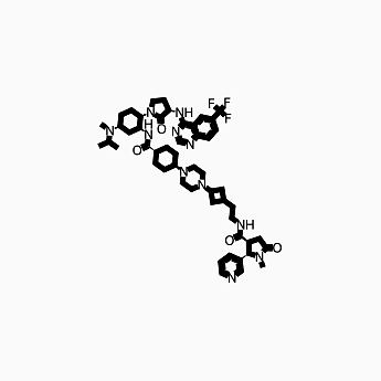 CC(C)N(C)[C@@H]1CC[C@H](N2CC[C@H](Nc3ncnc4ccc(C(F)(F)F)cc34)C2=O)[C@H](NC(=O)[C@H]2CC[C@H](N3CCN(C4CC(CCNC(=O)[C@H]5CC(=O)N(C)[C@@H]5c5cccnc5)C4)CC3)CC2)C1